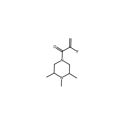 C=C(F)C(=O)N1CC(C)N(C)C(C)C1